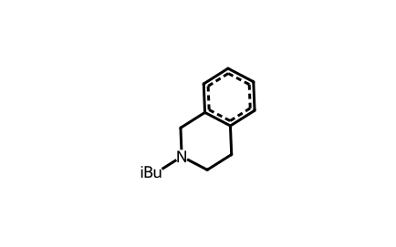 CCC(C)N1CCc2ccccc2C1